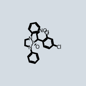 O=[N+]([O-])CC(c1ccc(Cl)cc1Cl)P1(=O)N(c2ccccc2)CCN1c1ccccc1